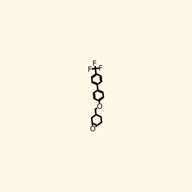 FC(F)(F)c1ccc(-c2ccc(OCC3CCC4OC4C3)cc2)cc1